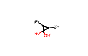 CC(C)C1C(C(C)C)C1(O)O